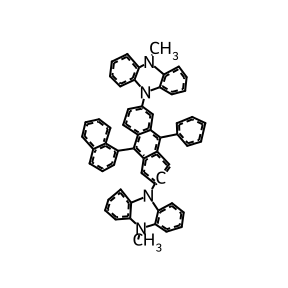 CN1c2ccccc2N(c2ccc3c(-c4cccc5ccccc45)c4cc(N5c6ccccc6N(C)c6ccccc65)ccc4c(-c4ccccc4)c3c2)c2ccccc21